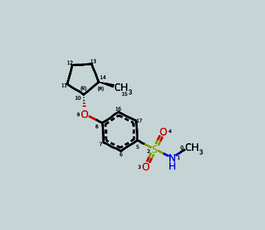 CNS(=O)(=O)c1ccc(O[C@@H]2CCC[C@H]2C)cc1